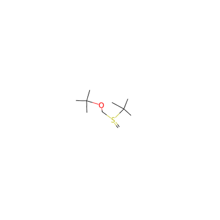 C=S(COC(C)(C)C)C(C)(C)C